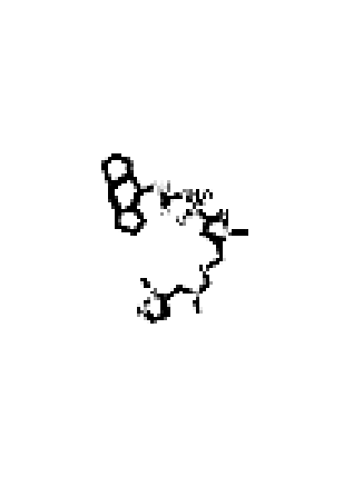 CN(COCc1cc(S(=O)(=O)NC(=O)Nc2c3c(cc4c2CCC4)CCC3)nn1C)Cc1ccnn1C